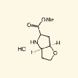 COC(=O)C1C[C@H]2OCC[C@H]2N1.Cl